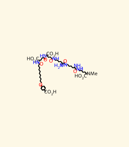 CN[C@@H](CCCCNC(=O)[C@@H](N)CCCCNC(=O)[C@@H](N)CCCCNC(=O)CC[C@H](NC(=O)CC[C@H](NC(=O)CCCCCCCCCCOc1ccc(C(=O)O)cc1)C(=O)O)C(=O)O)C(=O)O